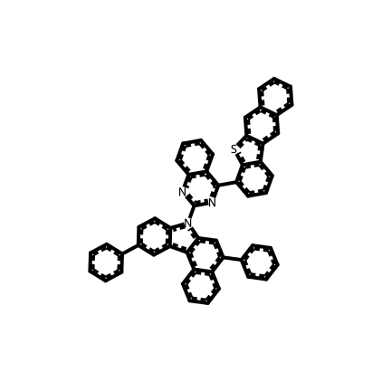 c1ccc(-c2ccc3c(c2)c2c4ccccc4c(-c4ccccc4)cc2n3-c2nc(-c3cccc4c3sc3cc5ccccc5cc34)c3ccccc3n2)cc1